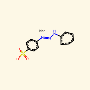 O=S(=O)([O-])c1ccc(N=NNc2ccccc2)cc1.[Na+]